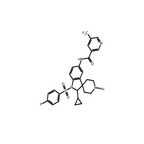 CC(=O)N1CCC2(CC1)c1cc(NC(=O)c3cncc(C(F)(F)F)c3)ccc1N(S(=O)(=O)c1ccc(F)cc1)C2C1CC1